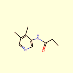 CCC(=O)Nc1cncc(C)c1C